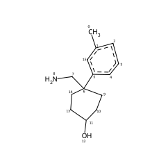 Cc1cccc(C2(CN)CCC(O)CC2)c1